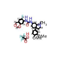 COc1ccc(C23CCC(NC(=O)Nc4cc5c(cc4F)COCO5)CC2N(C)CC3)cc1OC.O=C(O)C(F)(F)F